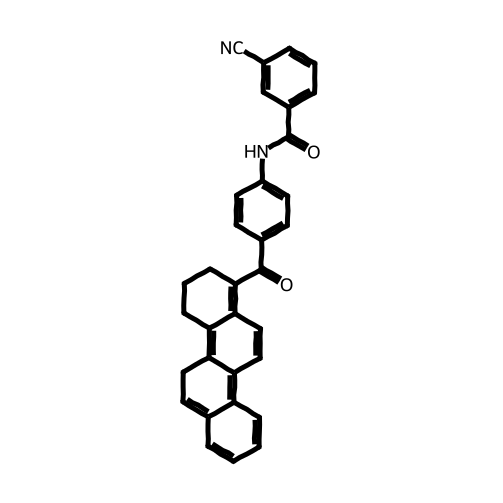 N#Cc1cccc(C(=O)Nc2ccc(C(=O)C3=c4ccc5c(c4CCC3)CC=c3ccccc3=5)cc2)c1